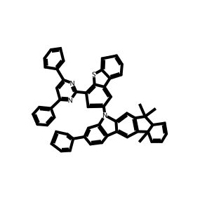 CC1(C)c2cc3c(cc2C2(C)C=CC=CC12)c1ccc(-c2ccccc2)cc1n3-c1cc(-c2nc(-c3ccccc3)cc(-c3ccccc3)n2)c2sc3ccccc3c2c1